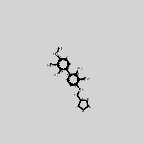 CCOc1ccc(-c2ccc(SCC3CCCC3)c(F)c2F)c(F)c1F